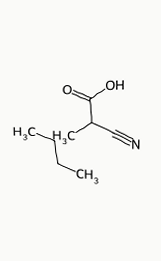 CC(C#N)C(=O)O.CCCC